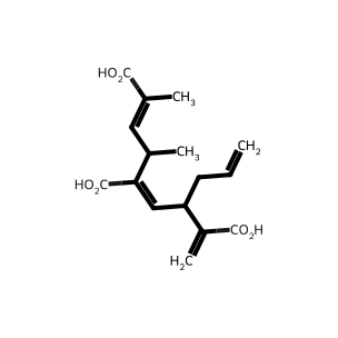 C=CCC(C=C(C(=O)O)C(C)C=C(C)C(=O)O)C(=C)C(=O)O